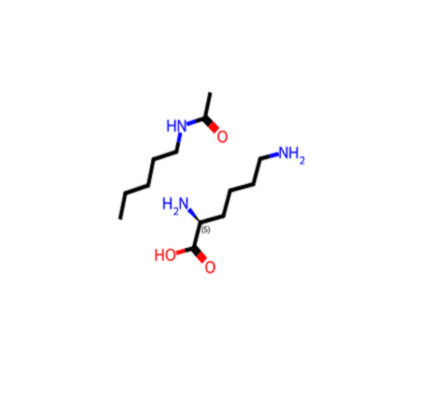 CCCCCNC(C)=O.NCCCC[C@H](N)C(=O)O